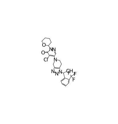 CC(c1ccccc1C(F)(F)F)n1nnc2c1CCN(c1cnn(C3CCCCO3)c(=O)c1Cl)C2